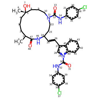 CC1CCC[C@](C)(O)CCCN(C(=O)Nc2ccc(Cl)cc2)CCC(/C=C/c2cn(C(=O)Nc3ccc(Cl)cc3)c3ccccc23)NC1=O